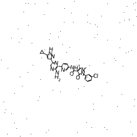 Cc1c(C(=O)Nc2ccc(-c3nc(-c4cc(C5CC5)[nH]n4)cnc3N)nc2)c(=O)n(-c2cccc(Cl)c2)n1C